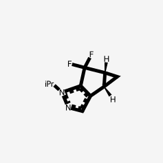 CC(C)n1ncc2c1C(F)(F)[C@@H]1C[C@H]21